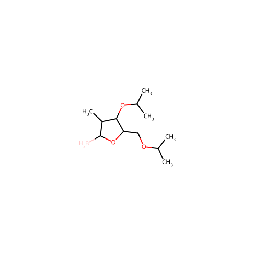 BC1OC(COC(C)C)C(OC(C)C)C1C